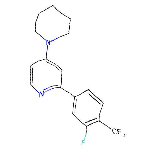 Fc1cc(-c2cc(N3CCCCC3)ccn2)ccc1C(F)(F)F